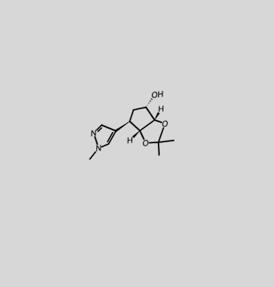 Cn1cc([C@H]2C[C@H](O)[C@@H]3OC(C)(C)O[C@@H]32)cn1